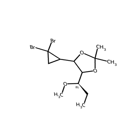 CC[C@@H](OC)C1OC(C)(C)OC1C1CC1(Br)Br